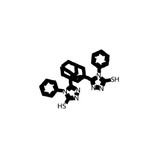 Sc1nnc(C23CC4CC(C2)CC(c2nnc(S)n2-c2ccccc2)(C4)C3)n1-c1ccccc1